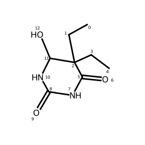 CCC1(CC)C(=O)NC(=O)NC1O